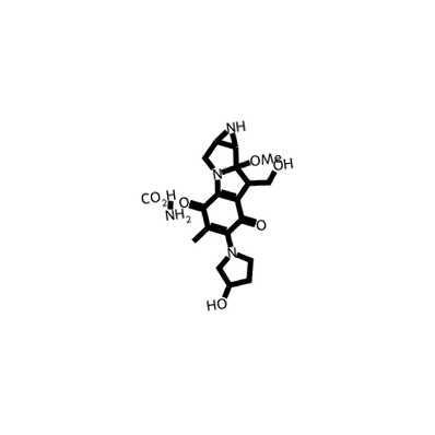 COC12C(CO)C3=C(C(=O)C(C)=C(N4CCC(O)C4)C3=O)N1CC1NC12.NC(=O)O